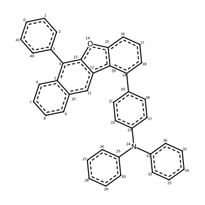 c1ccc(-c2c3ccccc3cc3c2oc2cccc(-c4ccc(N(c5ccccc5)c5ccccc5)cc4)c23)cc1